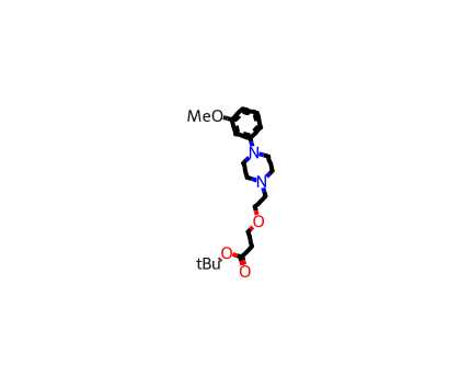 COc1cccc(N2CCN(CCOCCC(=O)OC(C)(C)C)CC2)c1